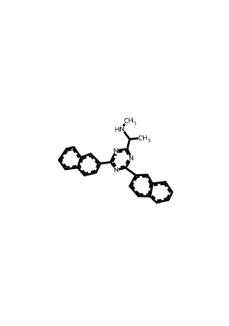 CNC(C)c1nc(-c2ccc3ccccc3c2)nc(-c2ccc3ccccc3c2)n1